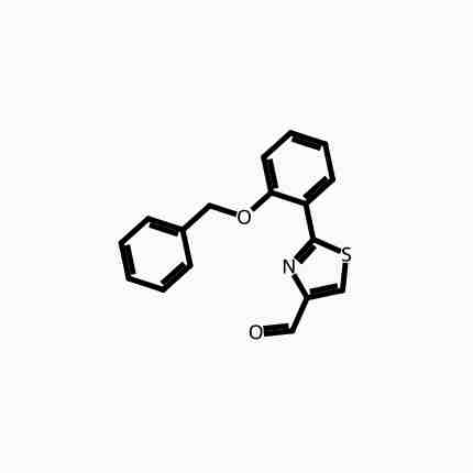 O=Cc1csc(-c2ccccc2OCc2ccccc2)n1